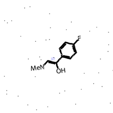 CN/C=C(\O)c1ccc(F)cc1